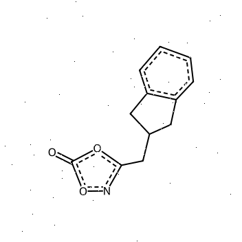 O=c1onc(CC2Cc3ccccc3C2)o1